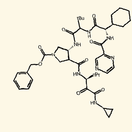 CCC[C@H](NC(=O)C1CN(C(=O)OCc2ccccc2)C[C@@H]1NC(=O)C(NC(=O)[C@@H](NC(=O)c1cnccn1)C1CCCCC1)C(C)(C)C)C(=O)C(=O)NC1CC1